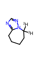 [2H]C1([2H])CCCCc2ncnn21